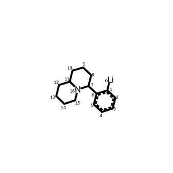 [Li][c]1ccccc1C1CCCC2CCCCN21